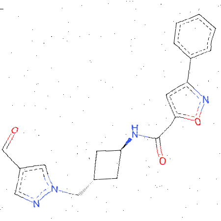 O=Cc1cnn(C[C@H]2C[C@H](NC(=O)c3cc(-c4ccccc4)no3)C2)c1